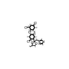 CC1COC(Cn2cncn2)(c2cc(F)c(Oc3ccc(Cl)cc3Cl)cc2Cl)O1